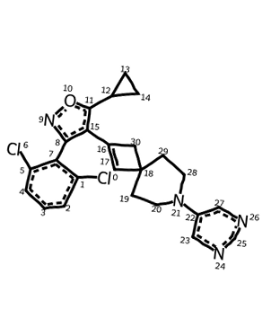 Clc1cccc(Cl)c1-c1noc(C2CC2)c1C1=CC2(CCN(c3cncnc3)CC2)C1